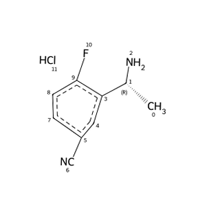 C[C@@H](N)c1cc(C#N)ccc1F.Cl